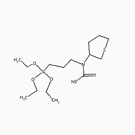 CCO[Si](CCCN(C(=S)S)C1CCCCC1)(OCC)OCC